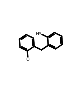 Oc1ccccc1Cc1ccccc1S